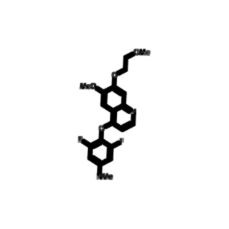 CNc1cc(F)c(Oc2ccnc3cc(OCCOC)c(OC)cc23)c(F)c1